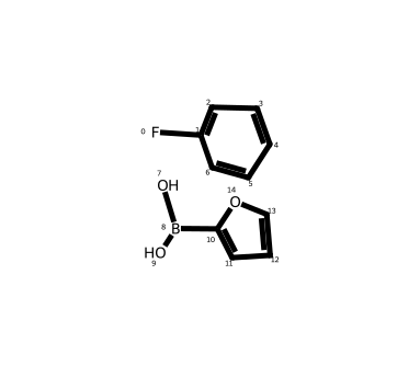 Fc1ccccc1.OB(O)c1ccco1